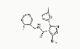 Cc1ccc(-c2noc(N)c2C(=O)NCc2ccccc2C)o1